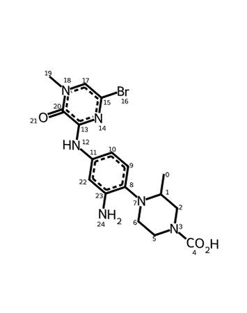 CC1CN(C(=O)O)CCN1c1ccc(Nc2nc(Br)cn(C)c2=O)cc1N